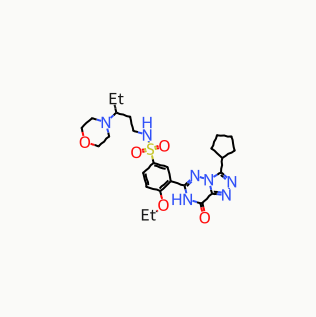 CCOc1ccc(S(=O)(=O)NCCC(CC)N2CCOCC2)cc1-c1nn2c(C3CCCC3)nnc2c(=O)[nH]1